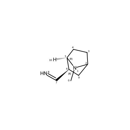 CN1C2CC[C@@H]1[C@H](C=N)C2